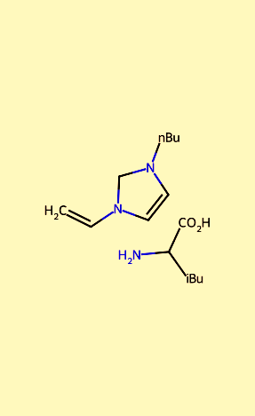 C=CN1C=CN(CCCC)C1.CCC(C)C(N)C(=O)O